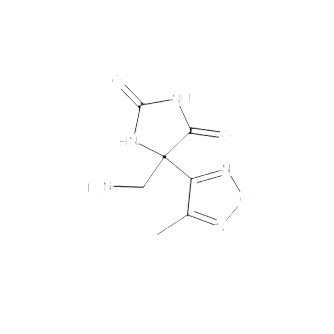 Cc1nonc1C1(CN)NC(=O)NC1=O